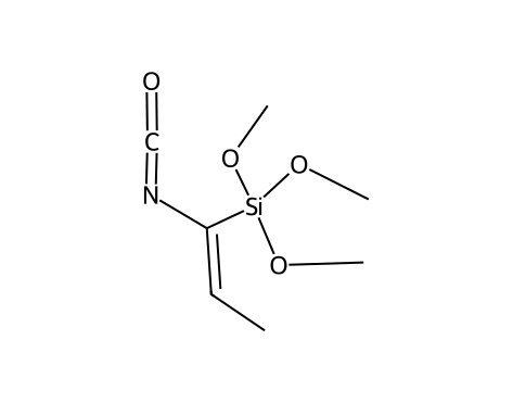 CC=C(N=C=O)[Si](OC)(OC)OC